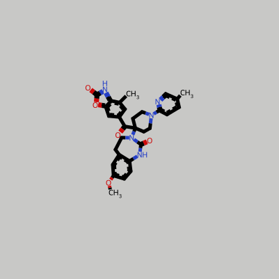 COc1ccc2c(c1)CCN(C1(C(=O)c3cc(C)c4[nH]c(=O)oc4c3)CCN(c3ccc(C)cn3)CC1)C(=O)N2